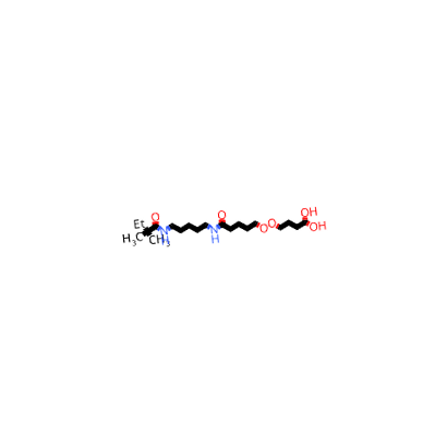 CCC(C)(C)C(=O)NCCCCCNC(=O)CCCCOOCCCC(O)O